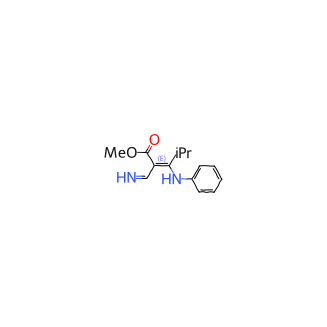 COC(=O)/C(C=N)=C(/Nc1ccccc1)C(C)C